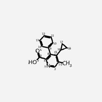 Cc1cnc(C(=O)O)c(-c2ccccc2)c1C1CC1